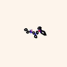 c1ccc(-c2cccc(-c3noc(-c4ccc(N(c5ccccc5)c5ccc(-n6c7ccccc7c7ccccc76)cc5)cc4)n3)c2)cc1